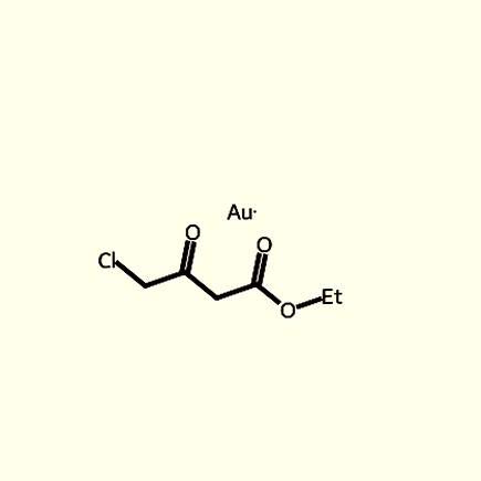 CCOC(=O)CC(=O)CCl.[Au]